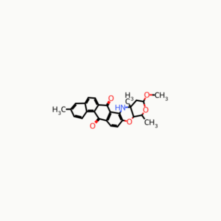 COC1CC2(C)Nc3c(ccc4c3C(=O)c3ccc5cc(C)ccc5c3C4=O)OC2C(C)O1